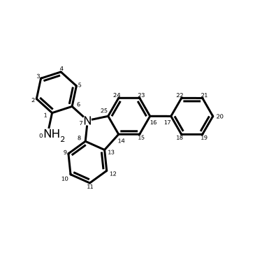 Nc1ccccc1-n1c2ccccc2c2cc(-c3ccccc3)ccc21